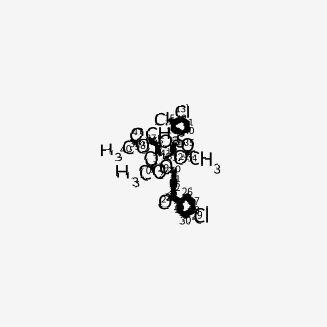 CC(=O)OCC(OC(Sc1ccc(Cl)c(Cl)c1)[C@H](COCC#CC(=O)c1ccc(Cl)cc1)OC(C)=O)[C@@H](C)OC(C)=O